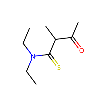 CCN(CC)C(=S)C(C)C(C)=O